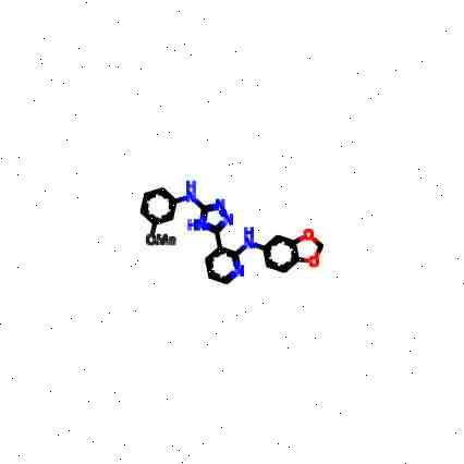 COc1cccc(Nc2nnc(-c3cccnc3Nc3ccc4c(c3)OCO4)[nH]2)c1